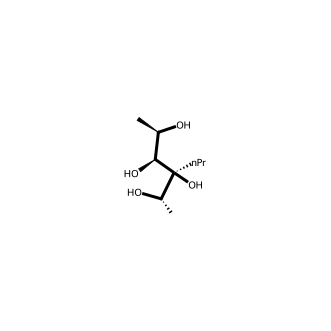 CCC[C@](O)([C@H](C)O)[C@@H](O)[C@@H](C)O